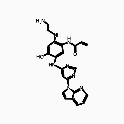 C=CC(=O)Nc1cc(Nc2cc(-n3ccc4cccnc43)ncn2)c(O)cc1NCCN